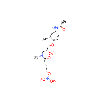 CCCC(=O)Nc1ccc(OCC(O)CN(C(=O)CCCON(O)O)C(C)C)c(C(C)=O)c1